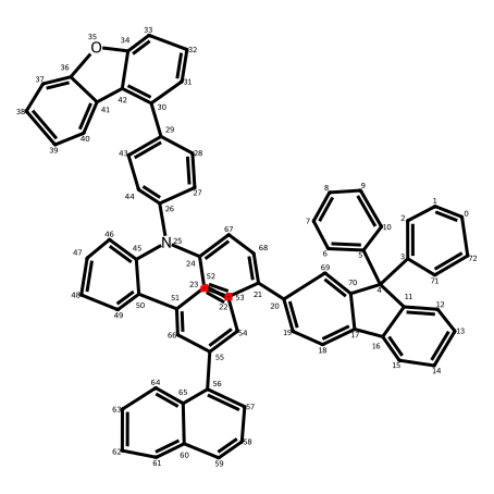 c1ccc(C2(c3ccccc3)c3ccccc3-c3ccc(-c4ccc(N(c5ccc(-c6cccc7oc8ccccc8c67)cc5)c5ccccc5-c5cccc(-c6cccc7ccccc67)c5)cc4)cc32)cc1